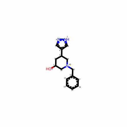 OC1CC(c2cn[nH]c2)CN(Cc2ccccc2)C1